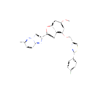 COc1cc(OCc2csc(-c3ccc(Cl)cc3)n2)c2cc(-c3cn4nc(C)ccc4n3)oc2c1